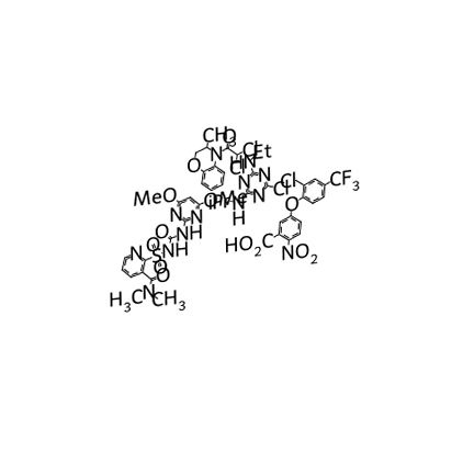 CC1COc2ccccc2N1C(=O)C(Cl)Cl.CCNc1nc(Cl)nc(NC(C)C)n1.COc1cc(OC)nc(NC(=O)NS(=O)(=O)c2ncccc2C(=O)N(C)C)n1.O=C(O)c1cc(Oc2ccc(C(F)(F)F)cc2Cl)ccc1[N+](=O)[O-]